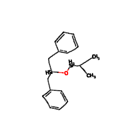 CC(C)[SiH2]O[SiH](Cc1ccccc1)Cc1ccccc1